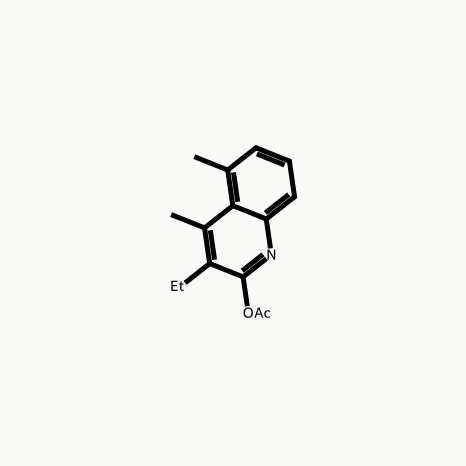 CCc1c(OC(C)=O)nc2cccc(C)c2c1C